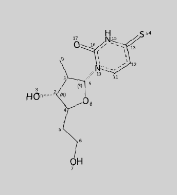 CC1[C@@H](O)C(CCO)O[C@H]1n1ccc(=S)[nH]c1=O